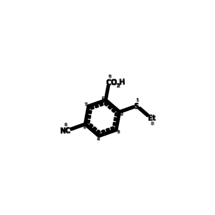 CCSc1ccc(C#N)cc1C(=O)O